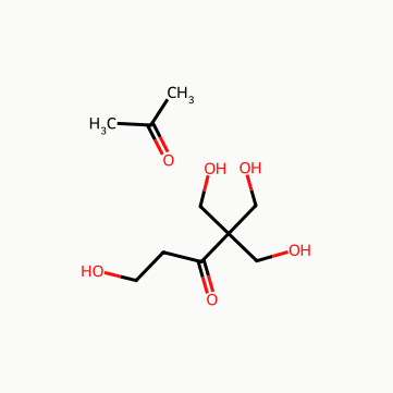 CC(C)=O.O=C(CCO)C(CO)(CO)CO